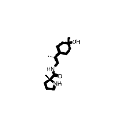 C[C@@H](CNC(=O)[C@@]1(C)CCCN1)C1CCC(C)(O)CC1